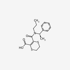 CCCN(C(=O)C1=C(C(=O)O)SCCS1)[C@H](C)c1ccccc1